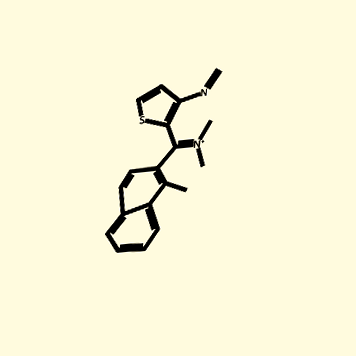 C=Nc1ccsc1C(c1ccc2ccccc2c1C)=[N+](C)C